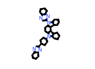 c1ccc2nc(-c3ccc(-n4c5ccccc5c5c6c7ccccc7n(-c7cnc8ccccc8n7)c6ccc54)cc3)cnc2c1